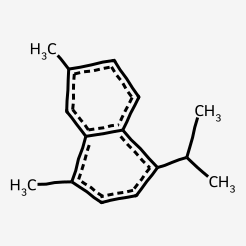 Cc1ccc2c(C(C)C)ccc(C)c2c1